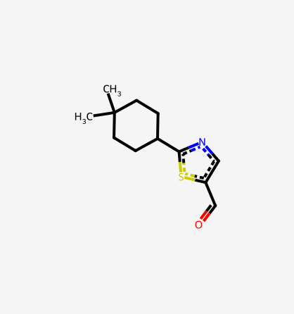 CC1(C)CCC(c2ncc(C=O)s2)CC1